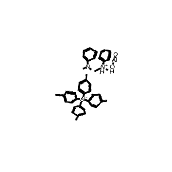 CN(C)c1ccccc1.C[NH+](C)c1ccccc1.Cc1cc[c]([Al-]([c]2ccc(C)cc2)([c]2ccc(C)cc2)[c]2ccc(C)cc2)cc1.[O]=[Al][OH]